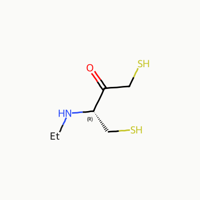 CCN[C@@H](CS)C(=O)CS